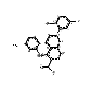 CCOC(=O)c1cccc(Nc2c(C(N)=O)cnc3cc(-c4cc(F)ccc4F)ccc23)c1